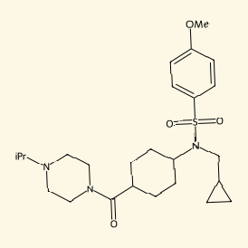 COc1ccc(S(=O)(=O)N(CC2CC2)C2CCC(C(=O)N3CCN(C(C)C)CC3)CC2)cc1